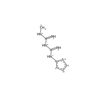 CNC(=N)NC(=N)Nc1cccs1